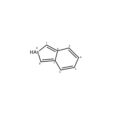 C1=c2ccccc2=C[AsH]1